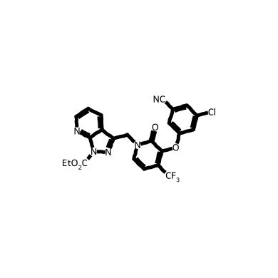 CCOC(=O)n1nc(Cn2ccc(C(F)(F)F)c(Oc3cc(Cl)cc(C#N)c3)c2=O)c2cccnc21